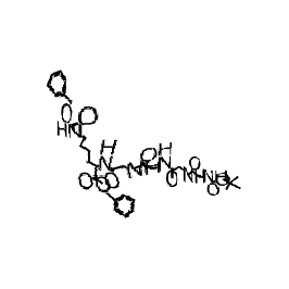 CC(C)(C)OC(=O)NCC(=O)NCC(=O)NCC(=O)NCC(=O)NC(CCCCNC(=O)OCc1ccccc1)C(=O)OCc1ccccc1